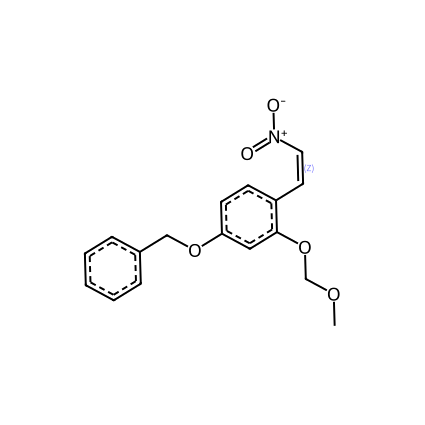 COCOc1cc(OCc2ccccc2)ccc1/C=C\[N+](=O)[O-]